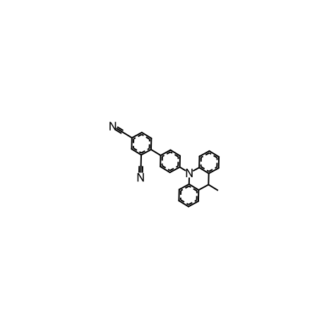 CC1c2ccccc2N(c2ccc(-c3ccc(C#N)cc3C#N)cc2)c2ccccc21